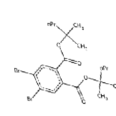 CCCC(C)(C)OC(=O)c1cc(Br)c(Br)cc1C(=O)OC(C)(C)CCC